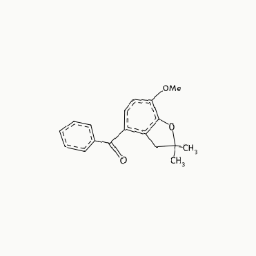 COc1ccc(C(=O)c2ccccc2)c2c1OC(C)(C)C2